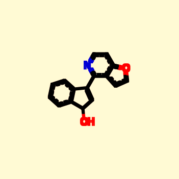 OC1C=C(c2nccc3occc23)c2ccccc21